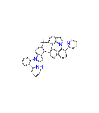 CC1(C)c2ccc3c(ccn3-c3ccccc3C3=CC=CCN3)c2-c2ccccc2-c2c1ccc1ccn(-c3ccccc3-c3ccccn3)c21